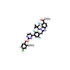 COC(=O)c1ccc2nc(Cc3cc(F)c(-c4ccnc(OCc5ccc(Cl)cc5OC)n4)cc3F)n(CC3(CF)CC3)c2c1